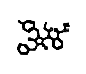 CCC(=O)N(c1ccccc1C(=O)NO)C1C(=O)N(Cc2ccccc2)C(=O)N1Cc1ccc(C)cc1